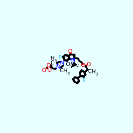 COc1c(N2CCN(Cc3oc(=O)oc3C)C(C)C2)c(F)cc2c(=O)cc(CCCOC(=O)C(C)c3ccc(-c4ccccc4)c(F)c3)n(C3CC3)c12